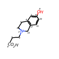 O=C(O)CCN1CCc2cc(O)ccc2C1